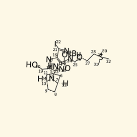 CC(C)(C)OC(=O)N[C@@H]1C[C@H]2CC[C@@H](C1)N2c1nc2c(nc1CO)c(I)nn2COCCS(C)(C)C